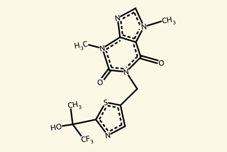 Cn1cnc2c1c(=O)n(Cc1cnc(C(C)(O)C(F)(F)F)s1)c(=O)n2C